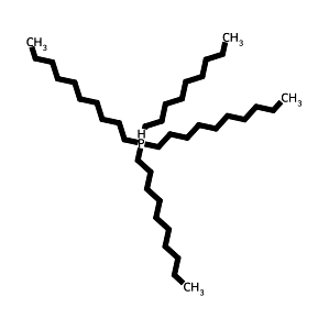 CCCCCCCCCC[PH](CCCCCCCCC)(CCCCCCCCCC)CCCCCCCCCC